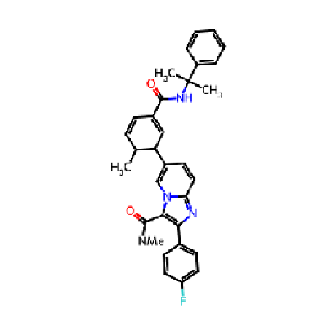 CNC(=O)c1c(-c2ccc(F)cc2)nc2ccc(C3C=C(C(=O)NC(C)(C)c4ccccc4)C=CC3C)cn12